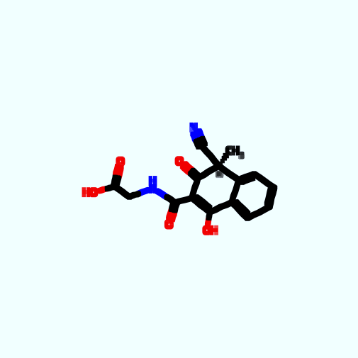 C[C@@]1(C#N)C(=O)C(C(=O)NCC(=O)O)=C(O)c2ccccc21